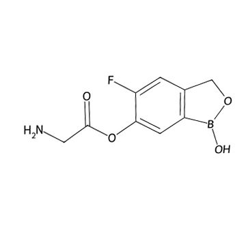 NCC(=O)Oc1cc2c(cc1F)COB2O